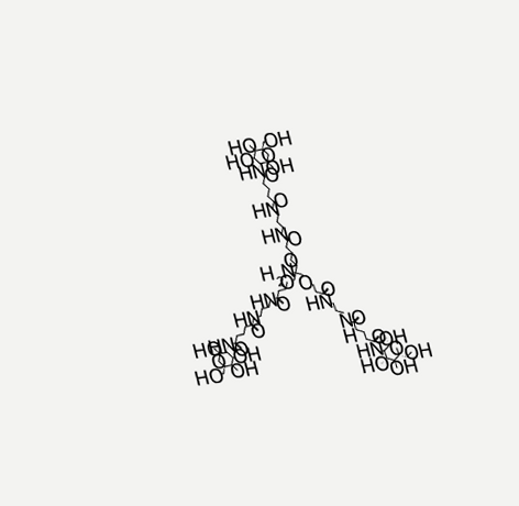 NC(COCCC(=O)NCCCNC(=O)CCCC(=O)N[C@@H]1[C@@H](O)[C@H](O)[C@@H](CO)O[C@H]1O)(COCCC(=O)NCCCNC(=O)CCCC(=O)N[C@H]1[C@H](O)O[C@H](CO)C(O)[C@@H]1O)COCCC(=O)NCCCNC(=O)CCCC(=O)N[C@H]1[C@H](O)O[C@H](CO)C(O)[C@@H]1O